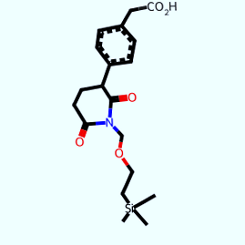 C[Si](C)(C)CCOCN1C(=O)CCC(c2ccc(CC(=O)O)cc2)C1=O